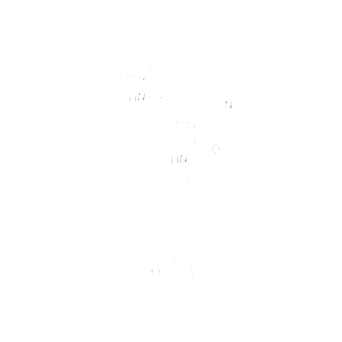 CC(C)C(=O)Nc1ccc(N(C)C)c(C(=O)NCc2cccc(C3CCCO3)c2)c1